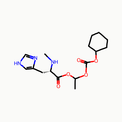 CN[C@@H](Cc1c[nH]cn1)C(=O)OC(C)OC(=O)OC1CCCCC1